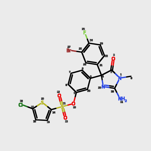 CN1C(=O)C(c2cccc(OS(=O)(=O)c3ccc(Cl)s3)c2)(c2ccc(F)c(Br)c2)N=C1N